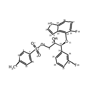 Cc1ccc(S(=O)(=O)OC[C@@H](O)[C@@H](Oc2c(F)ccc3sccc23)c2cccc(F)c2)cc1